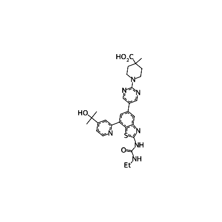 CCNC(=O)Nc1nc2cc(-c3cnc(N4CCC(C)(C(=O)O)CC4)nc3)cc(-c3cc(C(C)(C)O)ccn3)c2s1